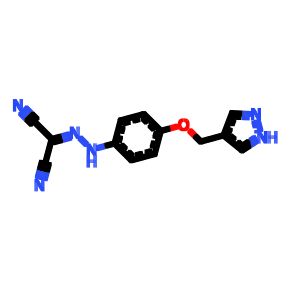 N#CC(C#N)=NNc1ccc(OCc2cn[nH]c2)cc1